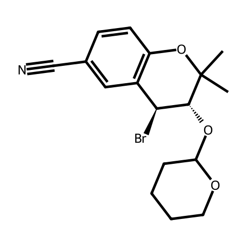 CC1(C)Oc2ccc(C#N)cc2[C@H](Br)[C@H]1OC1CCCCO1